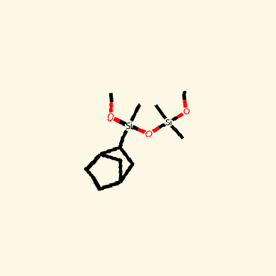 CO[Si](C)(C)O[Si](C)(OC)C1CC2CCC1C2